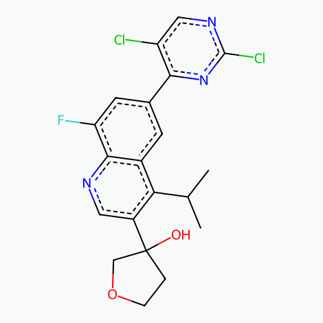 CC(C)c1c(C2(O)CCOC2)cnc2c(F)cc(-c3nc(Cl)ncc3Cl)cc12